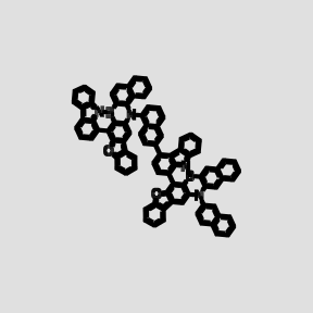 c1ccc2cc(N3c4cc5ccccc5cc4B4c5c3cc3c(oc6ccccc63)c5-c3ccc(-c5ccc6c(N7c8cc9c(oc%10ccccc%109)c9c8B(c8ccc%10ccccc%10c87)n7c8ccccc8c8cccc-9c87)cccc6c5)c5c6ccccc6n4c35)ccc2c1